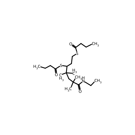 CCCC(=O)SCCC(SC(=O)CCC)C(C)(C)CC(C)(C)C(=O)NCC